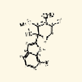 COC1N(C=O)C(Cl)COC1(O)c1cc2cccc(Br)c2s1